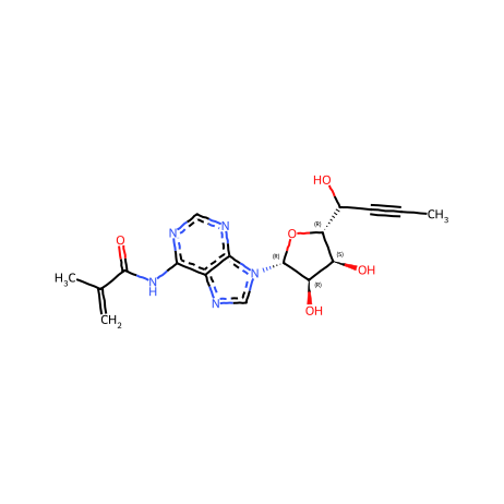 C=C(C)C(=O)Nc1ncnc2c1ncn2[C@@H]1O[C@H](C(O)C#CC)[C@@H](O)[C@H]1O